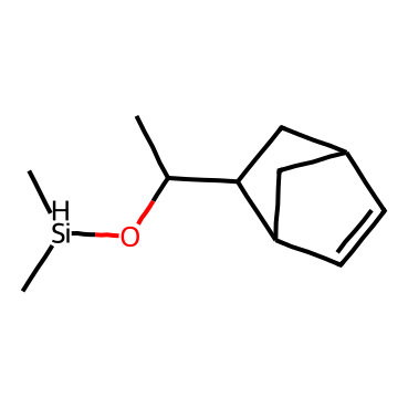 CC(O[SiH](C)C)C1CC2C=CC1C2